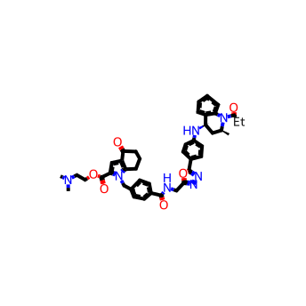 CCC(=O)N1c2ccccc2[C@H](Nc2ccc(-c3nnc(CNC(=O)c4ccc(Cn5c(C(=O)OCCN(C)C)cc6c5CCCC6=O)cc4)o3)cc2)C[C@@H]1C